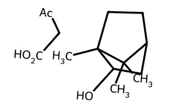 CC(=O)CC(=O)O.CC1(C)C2CCC1(C)C(O)C2